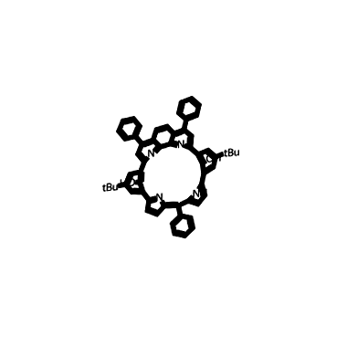 CC(C)(C)c1cc2c3nc(c(-c4ccccc4)c4ccc([nH]4)c4cc(C(C)(C)C)cc(c4O)c4cc(-c5ccccc5)c5ccc6c(-c7ccccc7)cc(nc6c5n4)c(c1)c2O)C=C3